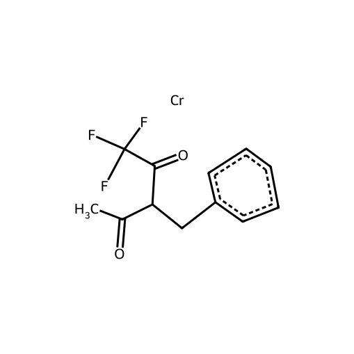 CC(=O)C(Cc1ccccc1)C(=O)C(F)(F)F.[Cr]